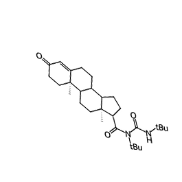 CC(C)(C)NC(=O)N(C(=O)C1CCC2C3CCC4=CC(=O)CC[C@]4(C)C3CC[C@]12C)C(C)(C)C